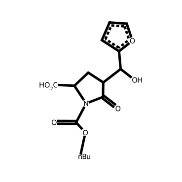 CCCCOC(=O)N1C(=O)C(C(O)c2ccco2)CC1C(=O)O